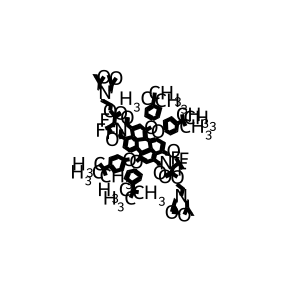 CC(C)(C)c1ccc(Oc2cc3c4c(cc(Oc5ccc(C(C)(C)C)cc5)c5c6c(Oc7ccc(C(C)(C)C)cc7)cc7c8c(cc(Oc9ccc(C(C)(C)C)cc9)c(c2c45)c86)C(=O)N(C(C(=O)OCCN(CC2CO2)CC2CO2)C(F)(F)F)C7=O)C(=O)N(C(C(=O)OCCN(CC2CO2)CC2CO2)C(F)(F)F)C3=O)cc1